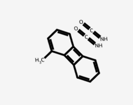 Cc1cccc2c1=c1ccccc1=2.N=C=O.N=C=O